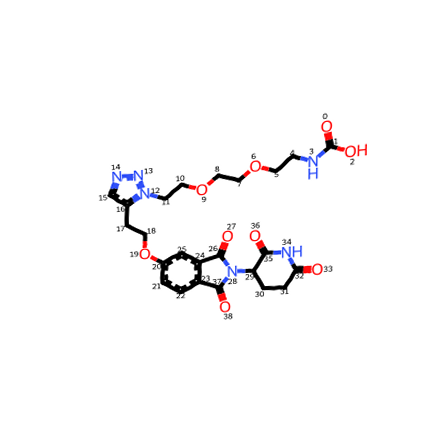 O=C(O)NCCOCCOCCn1nncc1CCOc1ccc2c(c1)C(=O)N(C1CCC(=O)NC1=O)C2=O